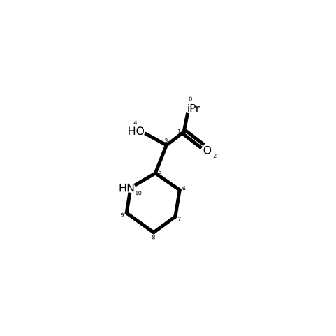 CC(C)C(=O)C(O)C1CCCCN1